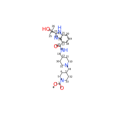 COC(=O)N1CCC(CN2CCC(CNC(=O)c3cccc4[nH]c(C(C)(C)O)nc34)CC2)CC1